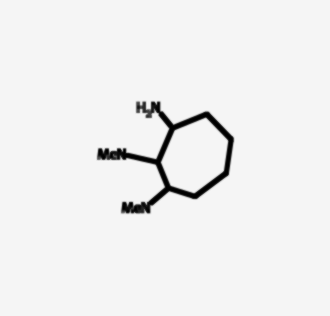 CNC1CCCCC(N)C1NC